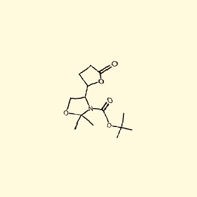 CC(C)(C)OC(=O)N1C(C2CCC(=O)O2)COC1(C)C